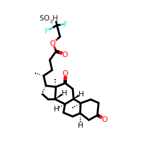 C[C@H](CCC(=O)OCC(F)(F)S(=O)(=O)O)[C@H]1CC[C@H]2[C@@H]3CC[C@@H]4CC(=O)CC[C@]4(C)[C@H]3CC(=O)[C@]12C